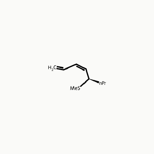 C=C/C=C\[C@@H](CCC)SC